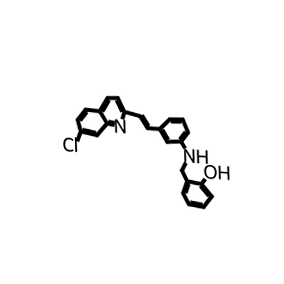 Oc1ccccc1CNc1cccc(C=Cc2ccc3ccc(Cl)cc3n2)c1